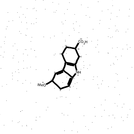 COC1C=c2c3c([nH]c2=CC1)CC(C(=O)O)CC3